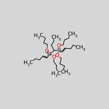 CCCC=C[Si](OCCCC)(OCCCC)C(CCC)[Si](C=CCCC)(OCCCC)OCCCC